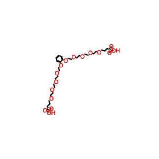 O=S(=O)(O)CCCOCCOCCOCCOCCOc1ccccc1OCCOCCOCCOCCOCCCS(=O)(=O)O